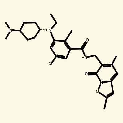 CCN(c1cc(Cl)cc(C(=O)NCc2c(C)cc3cc(C)on3c2=O)c1C)[C@H]1CC[C@H](N(C)C)CC1